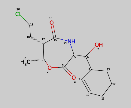 C[C@H]1OC(=O)[C@@H](C(O)C2C=CCCC2)NC(=O)[C@H]1CCCl